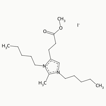 CCCCCn1cc(CCC(=O)OC)[n+](CCCCC)c1C.[I-]